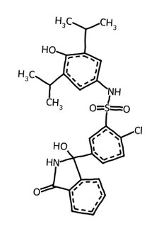 CC(C)c1cc(NS(=O)(=O)c2cc(C3(O)NC(=O)c4ccccc43)ccc2Cl)cc(C(C)C)c1O